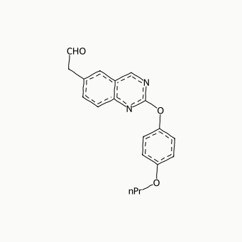 CCCOc1ccc(Oc2ncc3cc(CC=O)ccc3n2)cc1